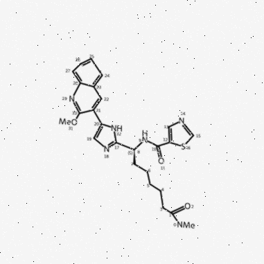 CNC(=O)CCCCC[C@H](NC(=O)c1cncs1)c1ncc(-c2cc3ccccc3nc2OC)[nH]1